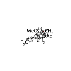 COc1ccc2c3c1OC1C(N(C)C(=O)/C=C/c4ccc(C(F)(F)F)cc4)CC[C@@]4(OC(C)=O)[C@@H](C2)N(C)CC[C@]314